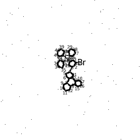 Brc1cc(-c2ccc3c4ccccc4c4ccccc4c3c2)cc([Si](c2ccccc2)(c2ccccc2)c2ccccc2)c1